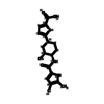 Cc1[nH]c(C(=O)N[C@@H]2CCN(c3ncc(C(=O)O)s3)C[C@@H]2Cl)cc1Cl